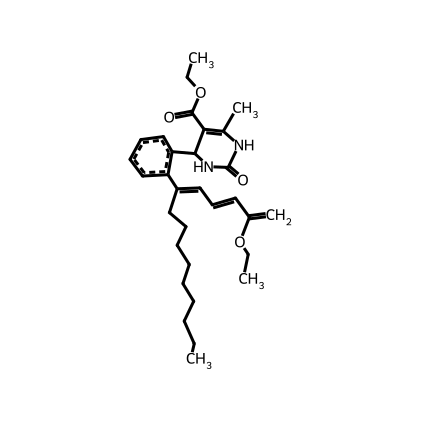 C=C(C=CC=C(CCCCCCCCC)c1ccccc1C1NC(=O)NC(C)=C1C(=O)OCC)OCC